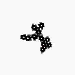 c1ccc(-n2c3ccccc3c3cc(N(c4ccc(-c5ccc6ccccc6c5)cc4)c4ccc(-c5c6ccccc6c(-c6ccccc6-c6ccc7ccccc7c6)c6ccccc56)cc4)ccc32)cc1